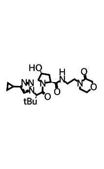 CC(C)(C)[C@@H](C(=O)N1C[C@H](O)C[C@H]1C(=O)NCCN1CCOCC1=O)n1cc(C2CC2)nn1